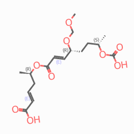 COCO[C@@H](/C=C/C(=O)O[C@H](C)C/C=C/C(=O)O)CC[C@H](C)OC(=O)O